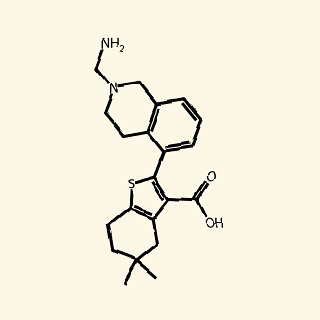 CC1(C)CCc2sc(-c3cccc4c3CCN(CN)C4)c(C(=O)O)c2C1